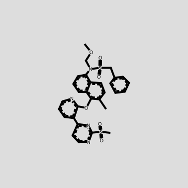 COCN(c1cccc2c(Oc3ncccc3-c3ccnc(S(C)(=O)=O)n3)c(C)ccc12)S(=O)(=O)Cc1ccccc1